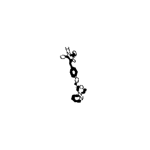 O=C1NC(=O)C(Cc2ccc(OC[C@H]3CN(c4ccccn4)CCO3)cc2)S1